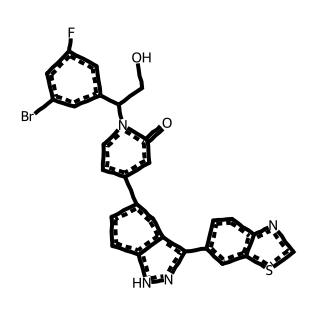 O=c1cc(-c2ccc3[nH]nc(-c4ccc5ncsc5c4)c3c2)ccn1C(CO)c1cc(F)cc(Br)c1